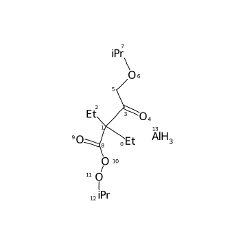 CCC(CC)(C(=O)COC(C)C)C(=O)OOC(C)C.[AlH3]